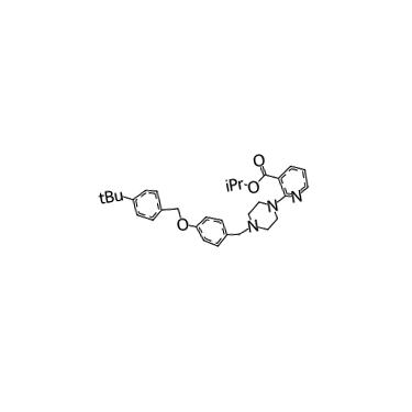 CC(C)OC(=O)c1cccnc1N1CCN(Cc2ccc(OCc3ccc(C(C)(C)C)cc3)cc2)CC1